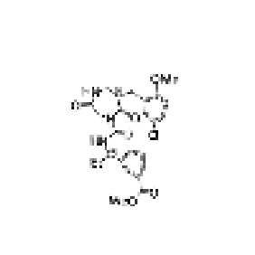 CC[C@@H](NC(=O)N1CC(=O)NC[C@@H](Cc2cc(Cl)ccc2OC)C1=O)c1cccc(C(=O)OC)c1